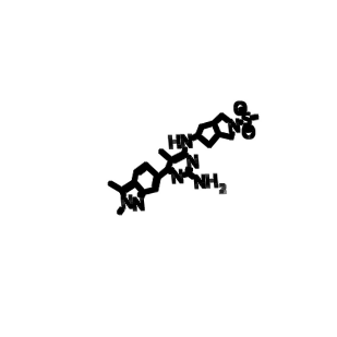 Cc1c(NC2CC3CN(S(C)(=O)=O)CC3C2)nc(N)nc1-c1ccc2c(C)n(C)nc2c1